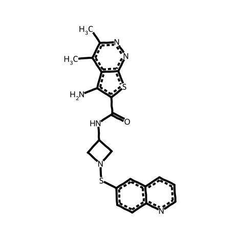 Cc1nnc2sc(C(=O)NC3CN(Sc4ccc5ncccc5c4)C3)c(N)c2c1C